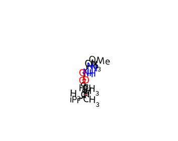 COc1cc(NC(C)CCCNC(=O)CCC(=O)O[C@H]2CC[C@@]3(C)C(=CC[C@H]4[C@@H]5CC[C@H]([C@H](C)CCCC(C)C)[C@@]5(C)CC[C@@H]43)C2)c2ncccc2c1